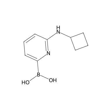 OB(O)c1cccc(NC2CCC2)n1